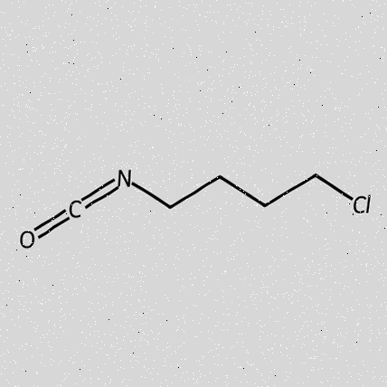 O=C=NCCCCCl